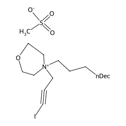 CCCCCCCCCCCCC[N+]1(CC#CI)CCOCC1.CS(=O)(=O)[O-]